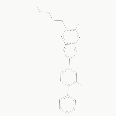 CCc1cc2nc(-c3ccc(-c4ccccc4)c(C(F)(F)F)c3)oc2cc1CNCCC(=O)O